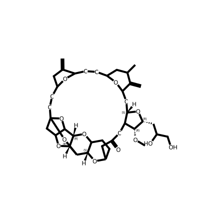 C=C1CC2CCC34CC5O[C@H]6C(O3)[C@H]3OC(CCC3O[C@H]6C5O4)CC(=O)CC3[C@H](CC4OC(CCC1O2)CC(C)C4=C)O[C@H](CC(O)CO)[C@@H]3OC